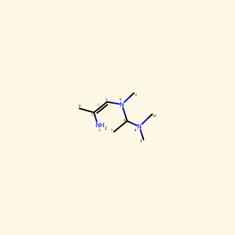 C/C(N)=C/N(C)C(C)N(C)C